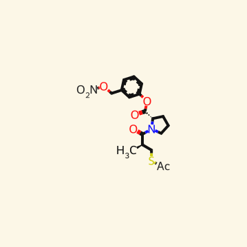 CC(=O)SC[C@@H](C)C(=O)N1CCC[C@H]1C(=O)Oc1cccc(CO[N+](=O)[O-])c1